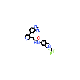 Cn1cnc2ccc(-c3ccncc3/C=C/C(=O)Nc3ccc4c(c3)CN(CC(F)(F)F)C4)cc21